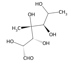 CC(O)[C@@H](O)[C@@](C)(O)[C@H](O)[C@@H](O)C=O